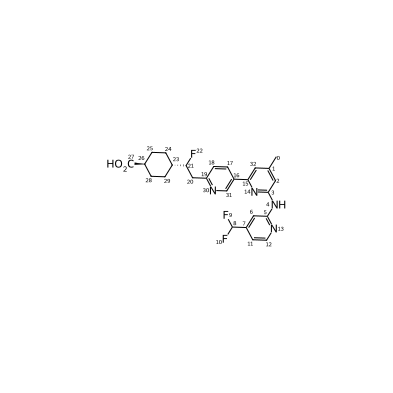 Cc1cc(Nc2cc(C(F)F)ccn2)nc(-c2ccc(CC(F)[C@H]3CC[C@H](C(=O)O)CC3)nc2)c1